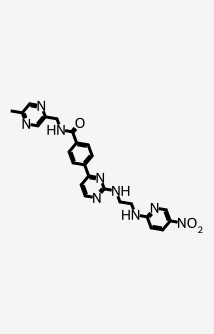 Cc1cnc(CNC(=O)c2ccc(-c3ccnc(NCCNc4ccc([N+](=O)[O-])cn4)n3)cc2)cn1